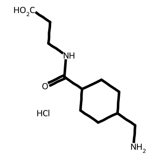 Cl.NCC1CCC(C(=O)NCCC(=O)O)CC1